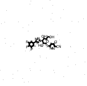 N#Cc1nnc(S[C@H]2OC(CO)[C@H](O)[C@H](n3cc(-c4cc(F)c(F)c(F)c4)nn3)C2O)cc1Cl